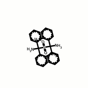 Nc1ccccc1C(N)(c1ccccc1)S(=O)(=O)C(N)(c1ccccc1)c1ccccc1N